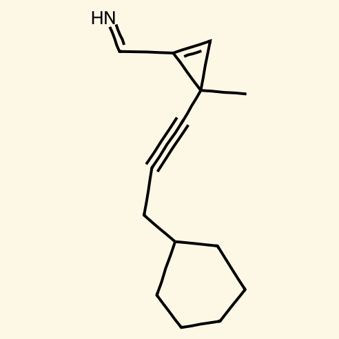 CC1(C#CCC2CCCCC2)C=C1C=N